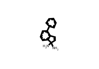 NC1(N)C=Cc2c(-c3ccccc3)cccc21